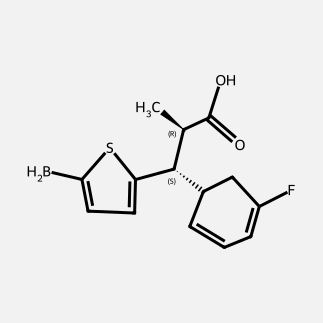 Bc1ccc([C@@H](C2C=CC=C(F)C2)[C@@H](C)C(=O)O)s1